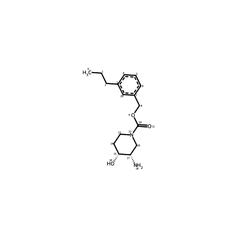 CCCc1cccc(COC(=O)N2CC[C@@H](O)[C@@H](N)C2)c1